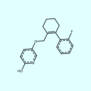 Oc1ccc(OCC2=C(c3ccccc3F)CCCC2)cn1